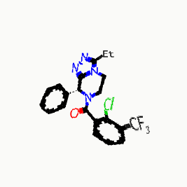 CCc1nnc2n1CCN(C(=O)c1cccc(C(F)(F)F)c1Cl)[C@@H]2c1ccccc1